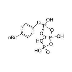 CCCCc1ccc(OP(=O)(O)OP(=O)(O)OP(=O)(O)O)cc1